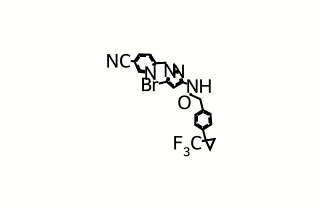 N#Cc1ccc(Cn2nc(NC(=O)Cc3ccc(C4(C(F)(F)F)CC4)cc3)cc2Br)nc1